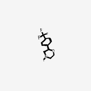 FC(F)(F)c1ccc(C2CN(I)CCO2)cc1